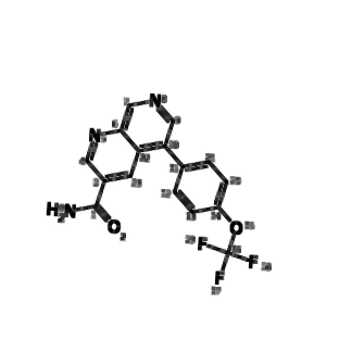 NC(=O)c1cnc2cncc(-c3ccc(OC(F)(F)F)cc3)c2c1